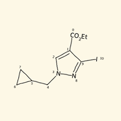 CCOC(=O)c1cn(CC2CC2)nc1I